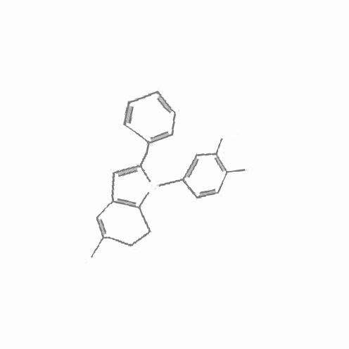 CCC(C)C1=Cc2cc(-c3ccccc3)n(-c3ccc(Cl)c(C(=O)O)c3)c2CC1